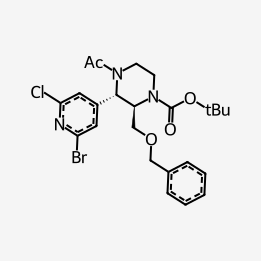 CC(=O)N1CCN(C(=O)OC(C)(C)C)[C@@H](COCc2ccccc2)[C@@H]1c1cc(Cl)nc(Br)c1